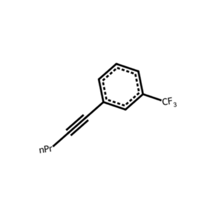 CCCC#Cc1cccc(C(F)(F)F)c1